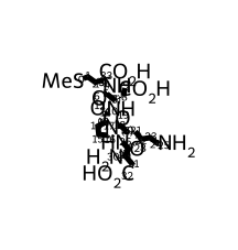 CSCC[C@H](NC(=O)[C@H](CC(=O)O)NC(=O)[C@@H]1CCCN1C(=O)[C@H](CCCCN)NC(=O)[C@@H](N)CC(=O)O)C(=O)O